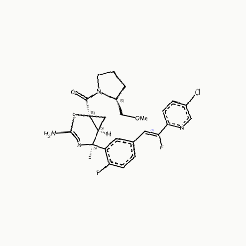 COC[C@@H]1CCCN1C(=O)[C@]12C[C@H]1[C@@](C)(c1cc(/C=C(\F)c3ccc(Cl)cn3)ccc1F)N=C(N)S2